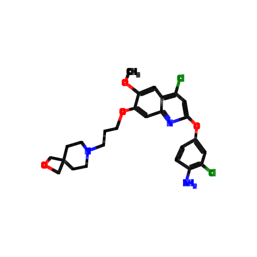 COc1cc2c(Cl)cc(Oc3ccc(N)c(Cl)c3)nc2cc1OCCCN1CCC2(CC1)COC2